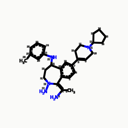 C/C(N)=C1\c2ccc(C3=CCN(C4CCCC4)CC3)cc2C(Nc2cccc(C)c2)CCN1N